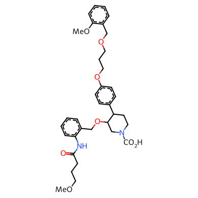 COCCCC(=O)Nc1ccccc1COC1CN(C(=O)O)CCC1c1ccc(OCCCOCc2ccccc2OC)cc1